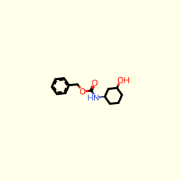 O=C(N[C@@H]1CCCC(O)C1)OCc1ccccc1